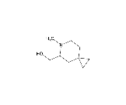 CN1CCC2(CC2)CC1CO